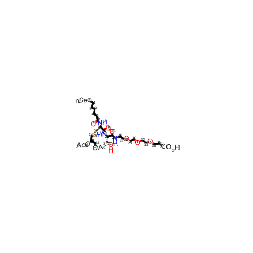 CCCCCCCCCCCCCCCC(=O)N[C@@H](CSC[C@@H](COC(C)=O)OC(C)=O)C(=O)N[C@@H](CO)C(=O)NCCOCCOCCOCCC(=O)O